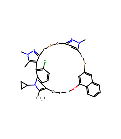 Cc1c2c(nn1C)CSCc1cc(n(C)n1)CSc1cc(c3ccccc3c1)OCCCc1c(C(=O)O)n(C3CC3)c3c-2c(Cl)ccc13